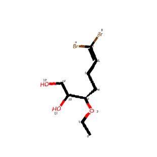 CCO[C@H](CCC=C(Br)Br)C(O)CO